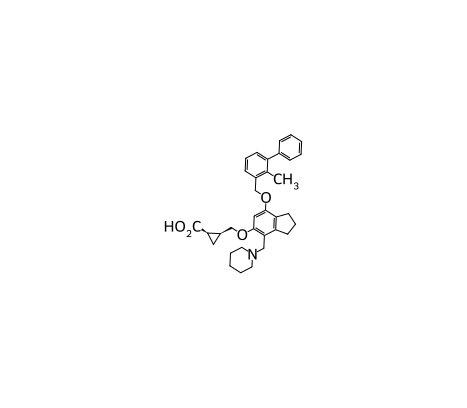 Cc1c(COc2cc(OC[C@H]3C[C@H]3C(=O)O)c(CN3CCCCC3)c3c2CCC3)cccc1-c1ccccc1